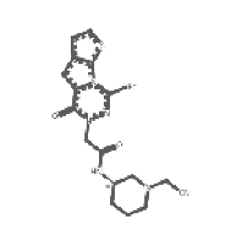 CC(C)c1nn(CC(=O)N[C@@H]2CCCN(CC#N)C2)c(=O)c2cc3ccsc3n12